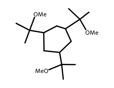 COC(C)(C)C1CC(C(C)(C)OC)CC(C(C)(C)OC)C1